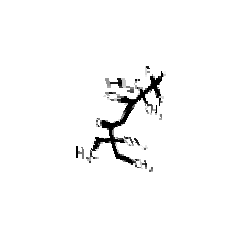 CCC(C)(CC)C(=O)CC(=O)C(C)(C)C(F)(F)F